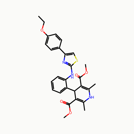 CCOc1ccc(-c2csc(Nc3ccccc3C3C(C(=O)OC)=C(C)NC(C)=C3C(=O)OC)n2)cc1